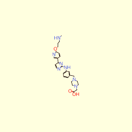 CNCCCOc1ccc(-c2ccnc(Nc3cccc(CN4CCN(CC(=O)O)CC4)c3)n2)cn1